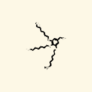 CCCCCCCOc1cc(CO)cc(OCCCCCCC)c1OCCCCCCC